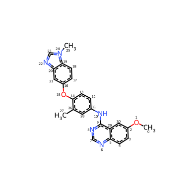 COc1ccc2ncnc(Nc3ccc(Oc4ccc5c(c4)ncn5C)c(C)c3)c2c1